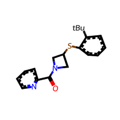 CC(C)(C)c1ccccc1SC1CN(C(=O)c2ccccn2)C1